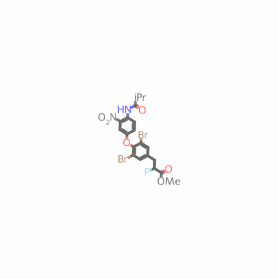 COC(=O)C(F)Cc1cc(Br)c(Oc2ccc(NC(=O)C(C)C)c([N+](=O)[O-])c2)c(Br)c1